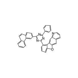 c1ccc(-c2nc(-c3ccc4ccc5ccccc5c4c3)nc(-c3cccc4oc5cc6cccnc6cc5c34)n2)cc1